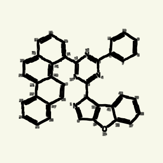 C1=NC(c2nc(-c3ccccc3)nc(-c3cccc4ccc5c6ccccc6ccc5c34)n2)c2c1oc1ccccc21